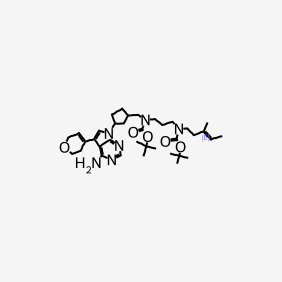 C/C=C(\C)CCN(CCCN(CC1CCC(n2cc(C3=CCOCC3)c3c(N)ncnc32)C1)C(=O)OC(C)(C)C)C(=O)OC(C)(C)C